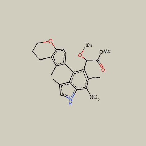 COC(=O)C(OC(C)(C)C)c1c(C)c([N+](=O)[O-])c2[nH]cc(C)c2c1-c1ccc2c(c1C)CCCO2